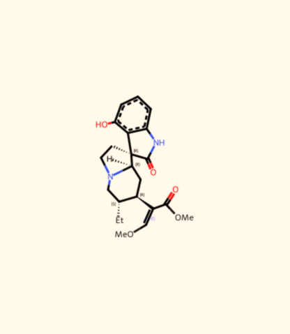 CC[C@@H]1CN2CC[C@]3(C(=O)Nc4cccc(O)c43)[C@H]2C[C@H]1/C(=C\OC)C(=O)OC